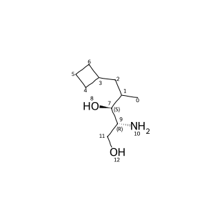 CC(CC1CCC1)[C@H](O)[C@H](N)CO